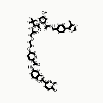 Cc1ncsc1-c1ccc(CNC(=O)[C@@H]2C[C@@H](O)CN2C(=O)[C@@H](NC(=O)COCCOc2ccc(C(=O)Nc3ccc4oc(-c5ccc(=O)n(C)n5)nc4c3)nc2)C(C)(C)C)cc1